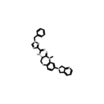 CN1C(=O)[C@@H](NC(=O)c2ncn(Cc3ccccc3)n2)CSc2ccc(N3Cc4cccnc4C3)cc21